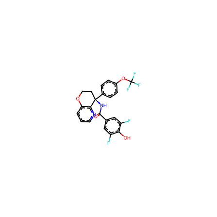 O=C(N[C@]1(c2ccc(OC(F)(F)F)cc2)CCOc2cccnc21)c1cc(F)c(O)c(F)c1